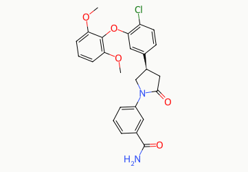 COc1cccc(OC)c1Oc1cc([C@H]2CC(=O)N(c3cccc(C(N)=O)c3)C2)ccc1Cl